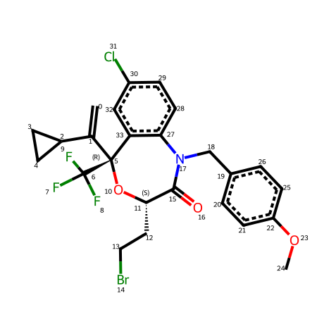 C=C(C1CC1)[C@@]1(C(F)(F)F)O[C@@H](CCBr)C(=O)N(Cc2ccc(OC)cc2)c2ccc(Cl)cc21